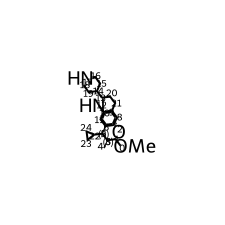 COC(=O)[C@@H](C)[C@H](c1ccc2c(c1)NC(C1CCNCC1)CC2)C1CC1